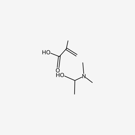 C=C(C)C(=O)O.CC(O)N(C)C